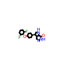 O=c1[nH]ncc2c(-c3ccc(Oc4c(F)cccc4F)cc3)c[nH]c12